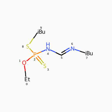 CCOP(=S)(NC=NC(C)CC)SC(C)CC